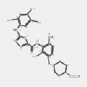 CCOC(=O)[C@H]1CC[C@H](Cc2ccc(N)c(NC(=O)c3nnc(Nc4cc(F)c(F)cc4F)o3)c2F)CC1